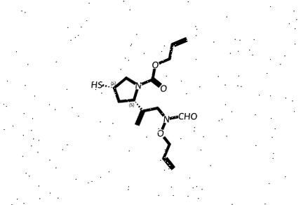 C=CCOC(=O)N1C[C@@H](S)C[C@H]1C(=C)CN(C=O)OCC=C